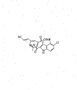 CO[P@](=O)(c1cc(C)cc(/C=C/C#N)c1)c1c(C(N)=O)[nH]c2ccc(Cl)c(F)c12